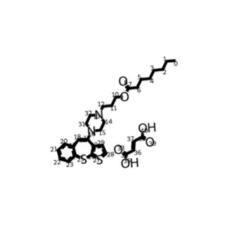 CCCCCCCC(=O)OCCCN1CCN(C2=Cc3ccccc3Sc3sccc32)CC1.O=C(O)C=CC(=O)O